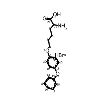 Br.NC(CCCCOc1ccc(Oc2ccccc2)cc1)C(=O)O